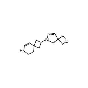 C1=CC2(CCN1)CC(N1C=CC3(COC3)C1)C2